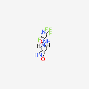 O=C(Nc1cc(C(F)(F)F)ncc1F)N1[C@H]2CC[C@@H]1c1c[nH]c(=O)cc1C2